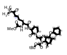 COC(=O)NC(CC/C=C/C(=O)N(C)C)C(=O)Nc1cccn(Cc2nc3c(Oc4ccccc4)c(F)cc(F)c3n2C(=O)OC(C)(C)C)c1=O